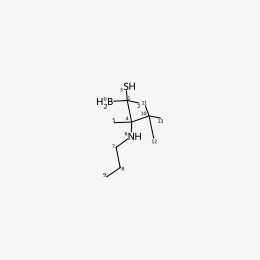 BC(C)(S)C(C)(NCCC)C(C)(C)C